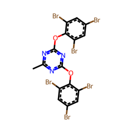 Cc1nc(Oc2c(Br)cc(Br)cc2Br)nc(Oc2c(Br)cc(Br)cc2Br)n1